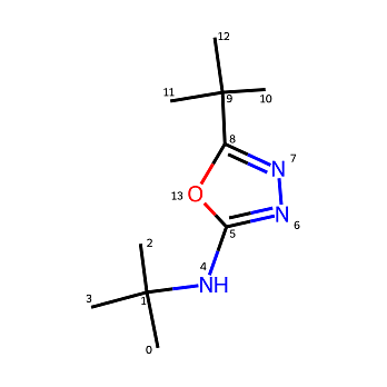 CC(C)(C)Nc1nnc(C(C)(C)C)o1